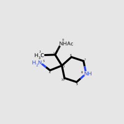 CC(=O)NC(C)C1(CN)CCNCC1